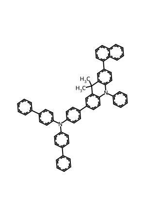 CC1(C)c2cc(-c3ccc(N(c4ccc(-c5ccccc5)cc4)c4ccc(-c5ccccc5)cc4)cc3)ccc2N(c2ccccc2)c2ccc(-c3cccc4ccccc34)cc21